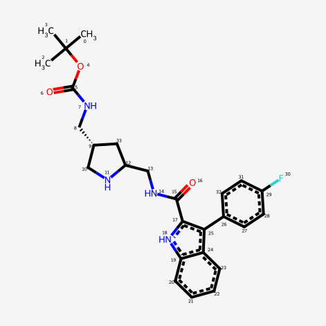 CC(C)(C)OC(=O)NC[C@H]1CNC(CNC(=O)c2[nH]c3ccccc3c2-c2ccc(F)cc2)C1